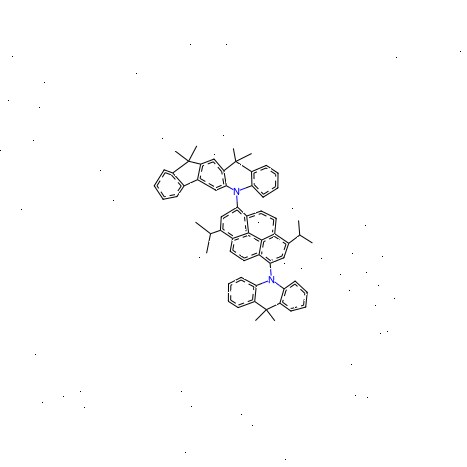 CC(C)c1cc(N2c3ccccc3C(C)(C)c3ccccc32)c2ccc3c(C(C)C)cc(N4c5ccccc5C(C)(C)c5cc6c(cc54)-c4ccccc4C6(C)C)c4ccc1c2c34